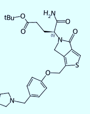 CC(C)(C)OC(=O)CC[C@@H](C(N)=O)N1Cc2c(csc2COc2ccc(CN3CCCC3)cc2)C1=O